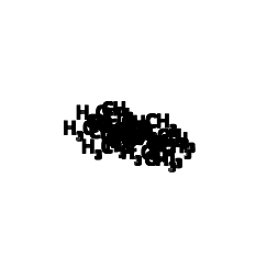 CCc1cc(-c2cc(C(C)(C)C)cc(C(C)(C)C)c2)c2c(c1)C([Si](C)(C)C1C(C)=Cc3c(-c4cc(C(C)(C)C)cc(C(C)(C)C)c4)cc(CC)cc31)C(C)=C2